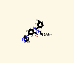 COCCn1c(-c2cccc(C)c2)nc2ccc(N3CCN4CCC3CC4)cc2c1=O